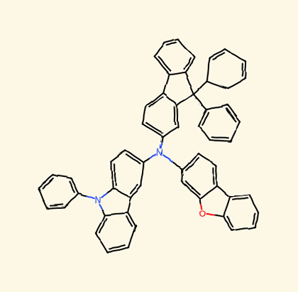 C1=CCC(C2(c3ccccc3)c3ccccc3-c3ccc(N(c4ccc5c(c4)oc4ccccc45)c4ccc5c(c4)c4ccccc4n5-c4ccccc4)cc32)C=C1